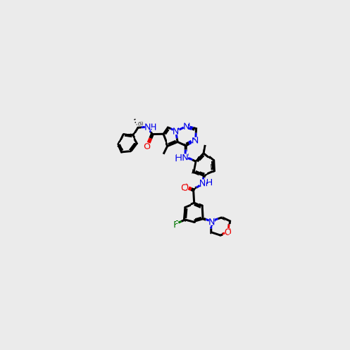 Cc1ccc(NC(=O)c2cc(F)cc(N3CCOCC3)c2)cc1Nc1ncnn2cc(C(=O)N[C@@H](C)c3ccccc3)c(C)c12